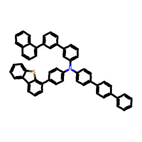 c1ccc(-c2ccc(-c3ccc(N(c4ccc(-c5cccc6c5sc5ccccc56)cc4)c4cccc(-c5cccc(-c6cccc7ccccc67)c5)c4)cc3)cc2)cc1